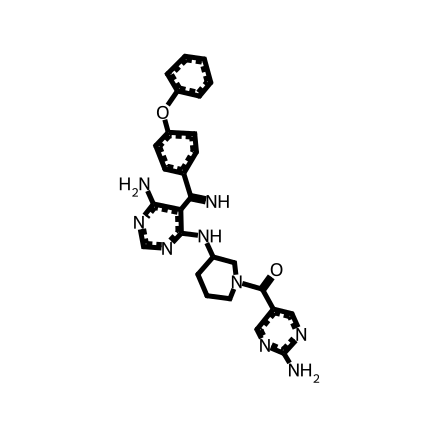 N=C(c1ccc(Oc2ccccc2)cc1)c1c(N)ncnc1NC1CCCN(C(=O)c2cnc(N)nc2)C1